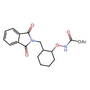 CC(=O)OC(=O)NOC1CCCCC1CN1C(=O)c2ccccc2C1=O